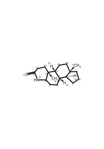 C[C@@]12CCC[C@H]1[C@@H]1CCC3NC(=S)CC[C@]3(C)[C@@H]1CC2